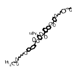 C=CC(=O)OCCCCCCOc1ccc2cc(C(=O)Oc3ccc(OC(=O)c4ccc5cc(OC(=O)c6ccc(OCCCCOC[C@@H]7CO7)cc6)ccc5c4)c(CCC)c3)ccc2c1